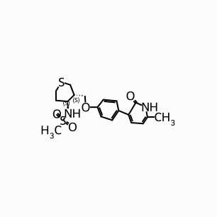 Cc1ccc(-c2ccc(OC[C@H]3CSCC[C@@H]3NS(C)(=O)=O)cc2)c(=O)[nH]1